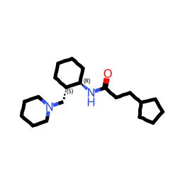 O=C(CCC1CCCC1)N[C@@H]1CCCC[C@H]1CN1CCCCC1